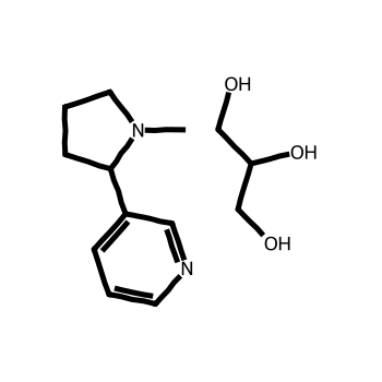 CN1CCCC1c1cccnc1.OCC(O)CO